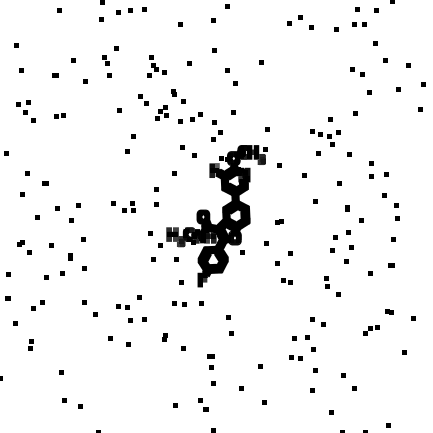 CNC(=O)c1c(-c2ccc(F)cc2)oc2ccc(-c3cnc(OC)c(F)c3)cc12